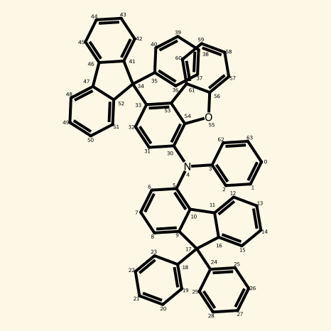 c1ccc(N(c2cccc3c2-c2ccccc2C3(c2ccccc2)c2ccccc2)c2ccc(C3(c4ccccc4)c4ccccc4-c4ccccc43)c3c2oc2ccccc23)cc1